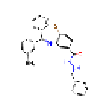 Bc1cccc(C2=Nc3cc(C(=O)NNCc4ccccc4)ccc3Sc3ccccc32)c1